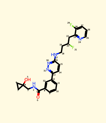 O=C(NCC1(O)CC1)c1cccc(-c2ccc(NCC[C@H](F)Cc3ncccc3F)nn2)c1